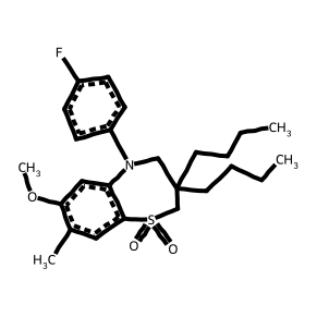 CCCCC1(CCCC)CN(c2ccc(F)cc2)c2cc(OC)c(C)cc2S(=O)(=O)C1